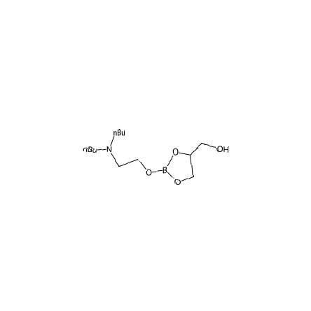 CCCCN(CCCC)CCOB1OCC(CO)O1